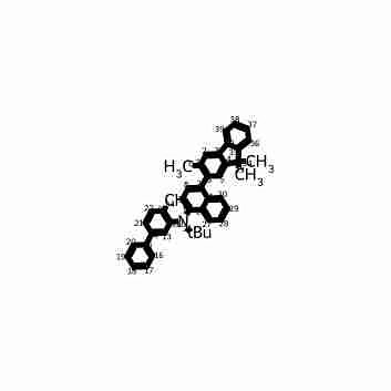 Cc1cc2c(cc1-c1ccc(N(c3cc(-c4ccccc4)ccc3C)C(C)(C)C)c3ccccc13)C(C)(C)c1ccccc1-2